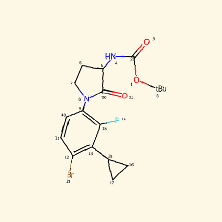 CC(C)(C)OC(=O)NC1CCN(c2ccc(Br)c(C3CC3)c2F)C1=O